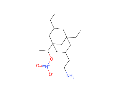 CCC1CC2(CC)CC(CCN)CC(C(C)O[N+](=O)[O-])(C1)C2